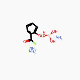 N.N.N.O=C(F)c1ccccc1O.OB(O)O